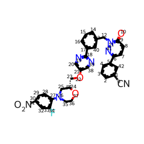 N#Cc1cccc(-c2ccc(=O)n(Cc3cccc(-c4ncc(OC[C@H]5CN(c6ccc([N+](=O)[O-])cc6F)CCO5)cn4)c3)n2)c1